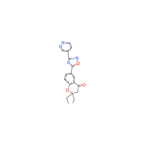 CCC1(CC)CC(=O)c2cc(-c3nc(-c4ccnnc4)no3)ccc2O1